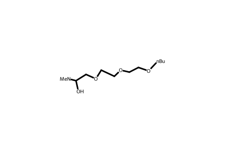 CCCCOCCOCCOCC(O)NC